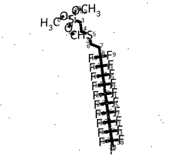 CO[Si](CCSCCC(F)(F)C(F)(F)C(F)(F)C(F)(F)C(F)(F)C(F)(F)C(F)(F)C(F)(F)C(F)(F)C(F)(F)F)(OC)OC